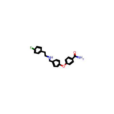 NC(=O)c1ccc(Oc2ccc(CNCCc3ccc(F)cc3)cc2)cc1